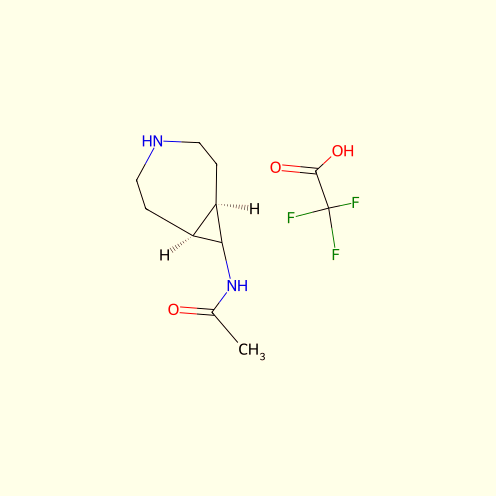 CC(=O)NC1[C@H]2CCNCC[C@@H]12.O=C(O)C(F)(F)F